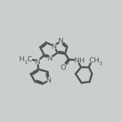 CC1CCCCC1NC(=O)c1cnn2ccc(N(C)c3cccnc3)nc12